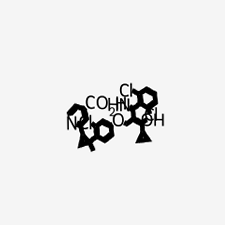 CC1(c2ccc(OC/C(C(=N)c3c(Cl)cccc3Cl)=C(/O)C3CC3)cc2Cl)CC1c1cc(C(=O)O)ccn1